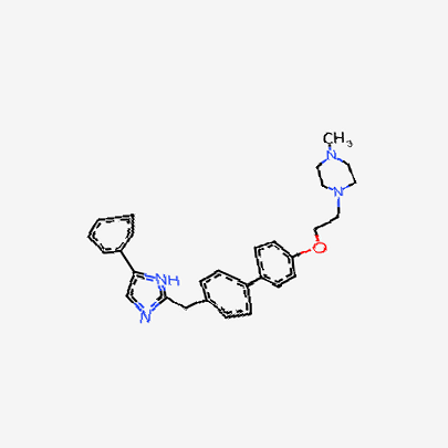 CN1CCN(CCOc2ccc(-c3ccc(Cc4ncc(-c5ccccc5)[nH]4)cc3)cc2)CC1